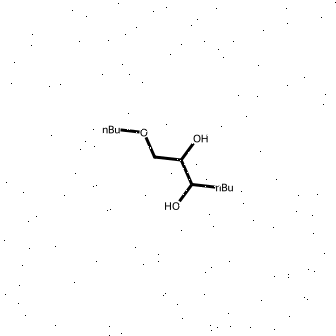 CCCCOCC(O)C(O)CCCC